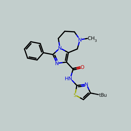 CN1CCCn2c(-c3ccccc3)nc(C(=O)Nc3nc(C(C)(C)C)cs3)c2C1